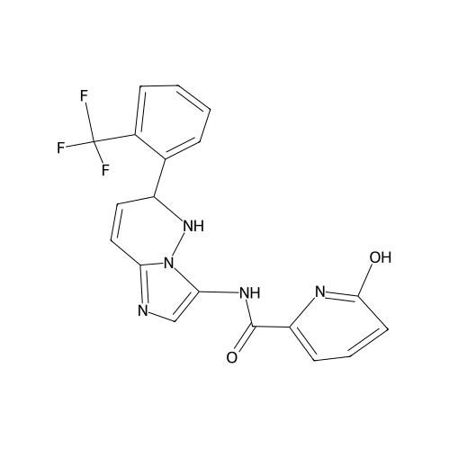 O=C(Nc1cnc2n1NC(c1ccccc1C(F)(F)F)C=C2)c1cccc(O)n1